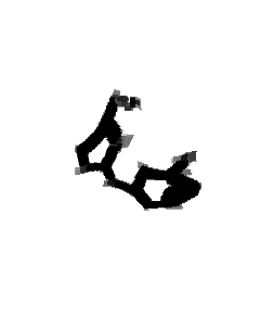 O=C(O)c1coc(Oc2cccc(Cl)c2)n1